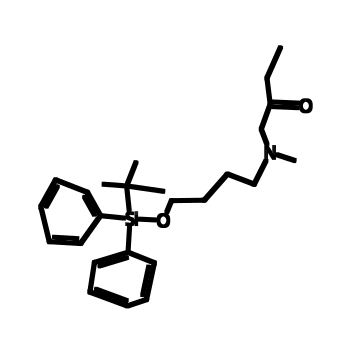 CCC(=O)CN(C)CCCCO[Si](c1ccccc1)(c1ccccc1)C(C)(C)C